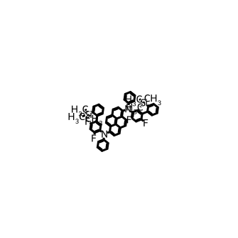 C[Si](C)(C)c1ccccc1-c1cc(N(c2ccccc2)c2ccc3ccc4c(N(c5ccccc5)c5cc(-c6ccccc6[Si](C)(C)C)c(F)cc5F)ccc5ccc2c3c54)c(F)cc1F